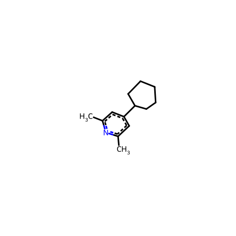 Cc1cc(C2CCCCC2)cc(C)n1